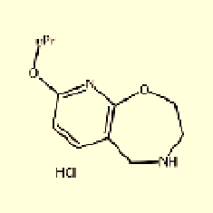 CCCOc1ccc2c(n1)OCCNC2.Cl